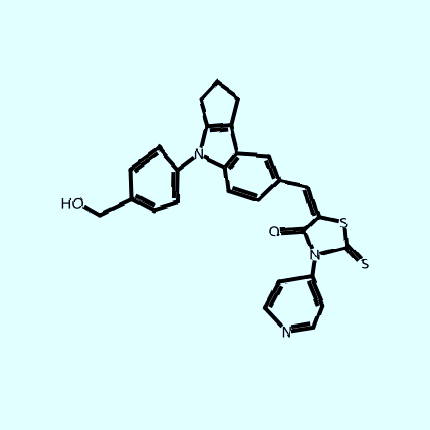 O=C1/C(=C\c2ccc3c(c2)c2c(n3-c3ccc(CO)cc3)CCC2)SC(=S)N1c1ccncc1